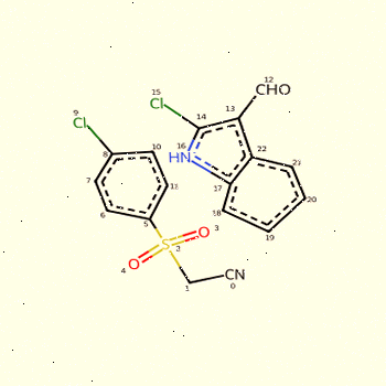 N#CCS(=O)(=O)c1ccc(Cl)cc1.O=Cc1c(Cl)[nH]c2ccccc12